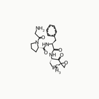 CC(C)C[C@H](NC(=O)[C@H](Cc1ccccc1)NC(=O)[C@@H]1CCCN1C(=O)CN)C(=O)[C@@]1(C)CO1